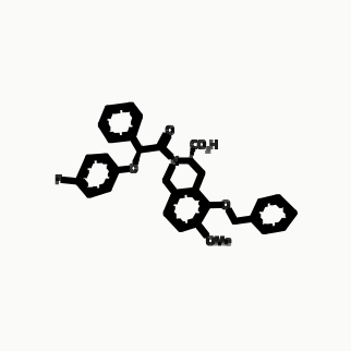 COc1ccc2c(c1OCc1ccccc1)C[C@@H](C(=O)O)N(C(=O)[C@@H](Oc1ccc(F)cc1)c1ccccc1)C2